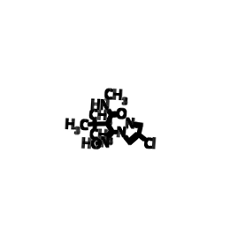 CNC(=O)C(C(=NO)n1cc(Cl)cn1)C(C)(C)C